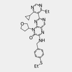 CCSc1ccc(CNc2nc3cnc(-c4c(CC)ncnc4C4CC4)nc3n(C3CCOC3)c2=O)cc1